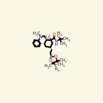 CN(C[C@@H]1CC[C@@H](CCB2OC(C)(C)C(C)(C)O2)C[C@]1(C)C(=O)NC(C)(C)C)c1ccccc1